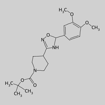 COc1ccc(C2NC(C3CCN(C(=O)OC(C)(C)C)CC3)=NO2)cc1OC